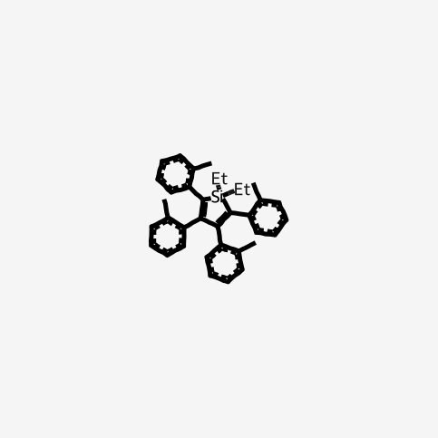 CC[Si]1(CC)C(c2ccccc2C)=C(c2ccccc2C)C(c2ccccc2C)=C1c1ccccc1C